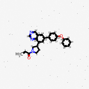 C=CC(=O)N1CCC(c2cc(-c3ccc(Oc4ccccc4)cc3)cc3cncnc23)C1